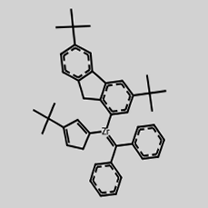 CC(C)(C)C1=CC[C]([Zr](=[C](c2ccccc2)c2ccccc2)[c]2cc(C(C)(C)C)cc3c2Cc2ccc(C(C)(C)C)cc2-3)=C1